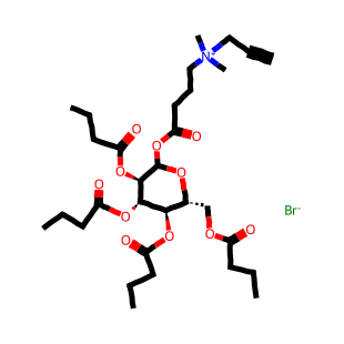 C#CC[N+](C)(C)CCCC(=O)OC1O[C@H](COC(=O)CCC)[C@@H](OC(=O)CCC)[C@H](OC(=O)CCC)[C@H]1OC(=O)CCC.[Br-]